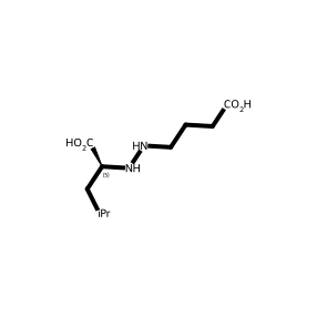 CC(C)C[C@H](NNCCCC(=O)O)C(=O)O